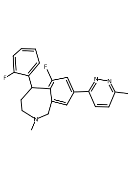 Cc1ccc(-c2cc(F)c3c(c2)CN(C)CCC3c2ccccc2F)nn1